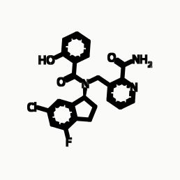 NC(=O)c1ncccc1CN(C(=O)c1ccccc1O)[C@H]1CCc2c(F)cc(Cl)cc21